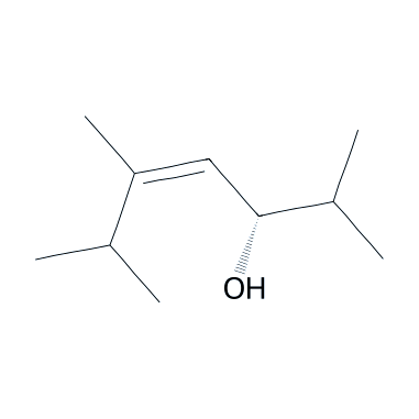 C/C(=C/[C@@H](O)C(C)C)C(C)C